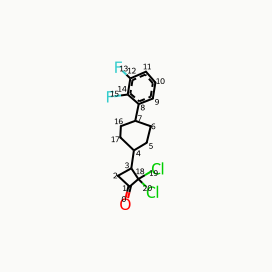 O=C1CC(C2CCC(c3cccc(F)c3F)CC2)C1(Cl)Cl